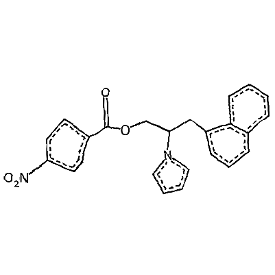 O=C(OCC(Cc1cccc2ccccc12)n1cccc1)c1ccc([N+](=O)[O-])cc1